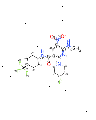 CNc1nc(N2CCC(F)CC2)c(C(=O)N[C@H]2CC[C@H](C(F)(F)F)CC2)cc1[N+](=O)[O-]